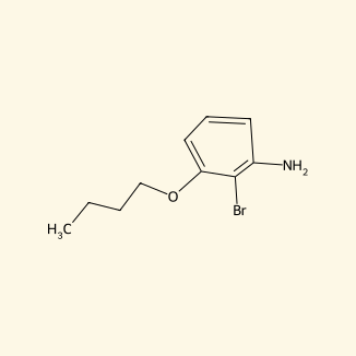 CCCCOc1cccc(N)c1Br